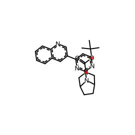 CC(C)(C)OC(=O)N1CC2CCC(C1)N2c1nccc(-c2cnc3ccccc3c2)n1